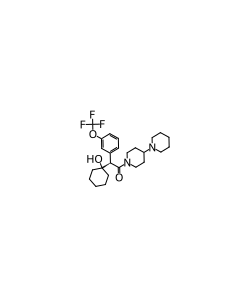 O=C([C@H](c1cccc(OC(F)(F)F)c1)C1(O)CCCCC1)N1CCC(N2CCCCC2)CC1